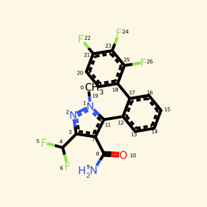 Cn1nc(C(F)F)c(C(N)=O)c1-c1ccccc1-c1ccc(F)c(F)c1F